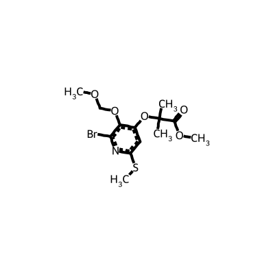 COCOc1c(OC(C)(C)C(=O)OC)cc(SC)nc1Br